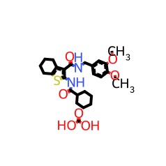 COc1ccc(CNC(=O)c2c(NC(=O)C3CCCCC3)sc3c2CCCC3)cc1OC.O=C(O)O